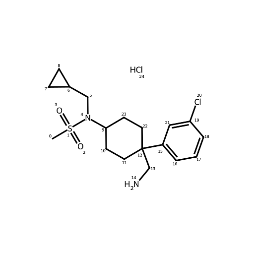 CS(=O)(=O)N(CC1CC1)C1CCC(CN)(c2cccc(Cl)c2)CC1.Cl